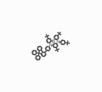 CC(C)(C)c1ccc(N2c3cc(C(C)(C)C)ccc3B3c4cc(C(C)(C)C)ccc4N(c4ccc(-c5cccc6c5-c5ccccc5C6(c5ccccc5)c5ccccc5)cc4)c4cc(C(C)(C)C)cc2c43)cc1